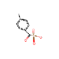 Cc1ccc(C(=O)S([O])(=O)=O)cc1